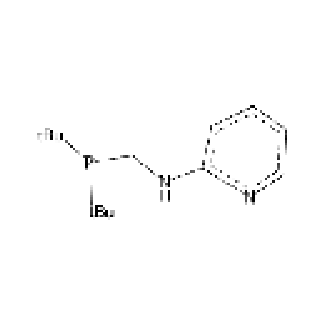 CC(C)(C)P(CNc1ccccn1)C(C)(C)C